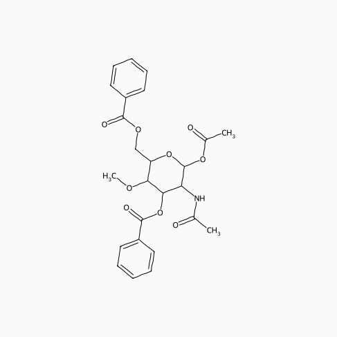 COC1C(COC(=O)c2ccccc2)OC(OC(C)=O)C(NC(C)=O)C1OC(=O)c1ccccc1